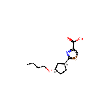 CCCCO[C@H]1CC[C@H](c2nc(C(=O)O)cs2)C1